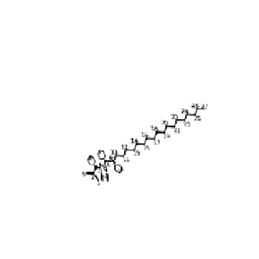 C=C(C)C(=O)NC(=O)C(=O)CCCCCCCCCCCCCCCCCC